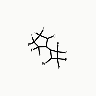 FC1(F)[C](C2C(Br)C(F)(F)C2(F)F)C(Cl)C(F)(F)C1(F)F